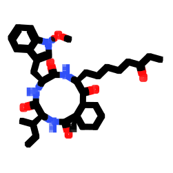 CCC(=O)CCCCC[C@@H]1NC(=O)[C@H](Cc2cn(OC)c3ccccc23)NC(=O)[C@H](C(C)CC)NC(=O)[C@@H]2CCCCC2C1=O